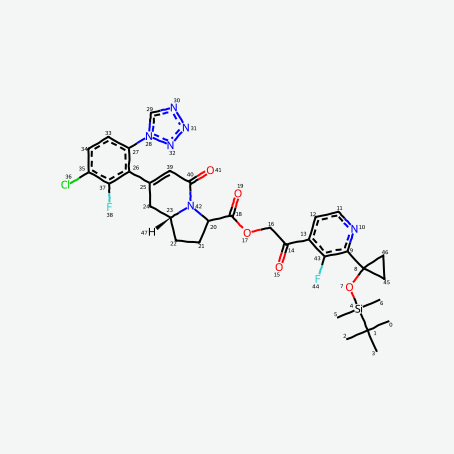 CC(C)(C)[Si](C)(C)OC1(c2nccc(C(=O)COC(=O)C3CC[C@@H]4CC(c5c(-n6cnnn6)ccc(Cl)c5F)=CC(=O)N34)c2F)CC1